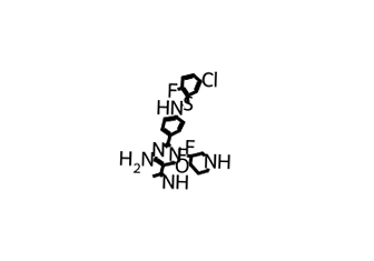 CC(=N)c1c(N)nc(-c2ccc(NSc3cc(Cl)ccc3F)cc2)nc1OC1CCNCC1(F)F